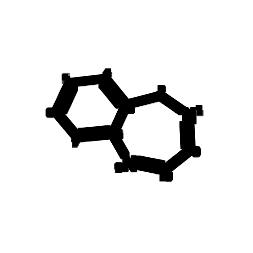 C1=NCc2ccccc2N=C1